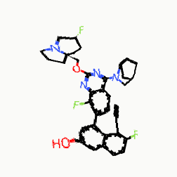 C#Cc1c(F)ccc2cc(O)cc(-c3ccc4c(N5CC6CCC5C6)nc(OC[C@@]56CCCN5C[C@H](F)C6)nc4c3F)c12